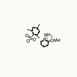 COc1cccc[n+]1N.Cc1cc(C)c(S(=O)(=O)[O-])c(C)c1